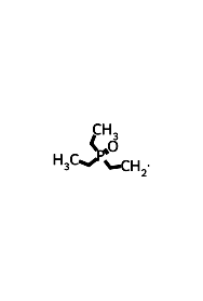 [CH2]CP(=O)(CC)CC